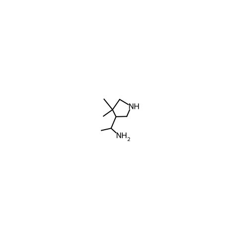 CC(N)C1CNCC1(C)C